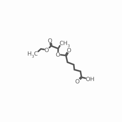 CCOC(=O)C(C)OC(=O)CCCCC(=O)O